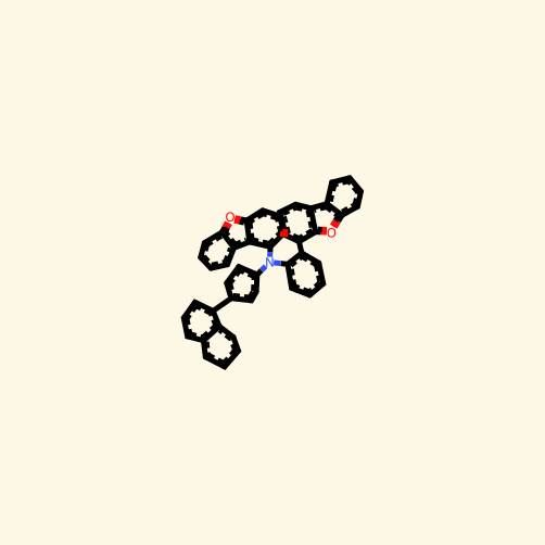 c1ccc(N(c2ccc(-c3cccc4ccccc34)cc2)c2cccc3oc4ccccc4c23)c(-c2cccc3c2oc2ccccc23)c1